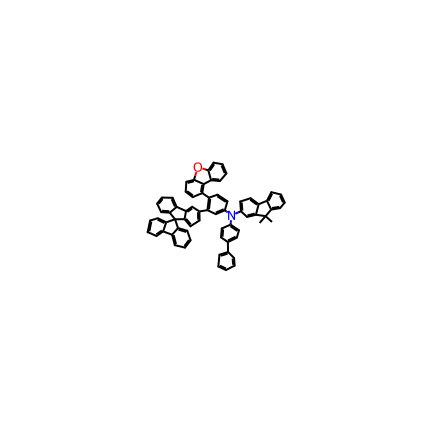 CC1(C)c2ccccc2-c2ccc(N(c3ccc(-c4ccccc4)cc3)c3ccc(-c4cccc5oc6ccccc6c45)c(-c4ccc5c(c4)-c4ccccc4C54c5ccccc5-c5ccccc54)c3)cc21